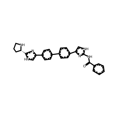 O=C(Nc1nc(-c2ccc(-c3ccc(-c4c[nH]c([C@@H]5CCCN5)n4)cc3)cc2)c[nH]1)c1ccccc1